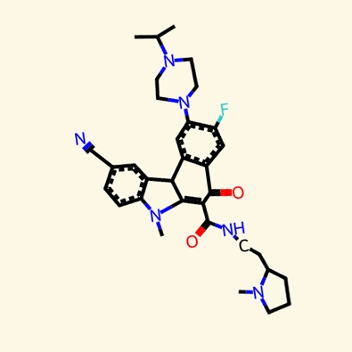 CC(C)N1CCN(c2cc3c(cc2F)C(=O)C(C(=O)NCCC2CCCN2C)=C2C3c3cc(C#N)ccc3N2C)CC1